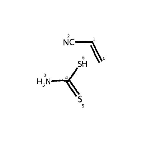 C=CC#N.NC(=S)S